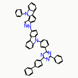 c1ccc(-c2ccc(-c3nc(-c4ccccc4)nc(-c4cccc(-n5c6ccccc6c6cc(-n7ncc8c7ccc7c9ccccc9n(-c9ccccc9)c78)ccc65)c4)n3)cc2)cc1